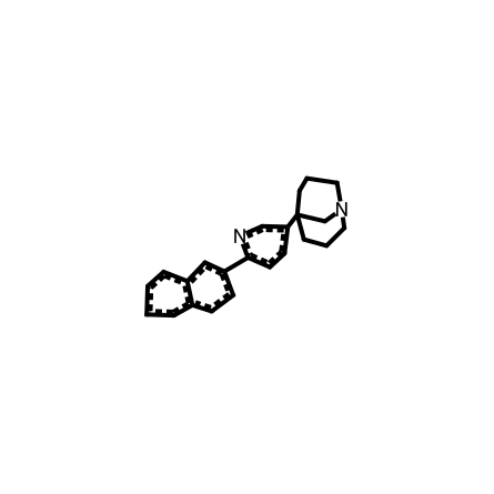 c1ccc2cc(-c3ccc(C45CCCN(CCC4)C5)cn3)ccc2c1